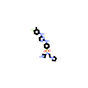 Cc1cc(Nc2ccnc(Nc3ccc(S(=O)(=O)N(CCN4CCCC4)C4CNC4)cc3)n2)ccc1F